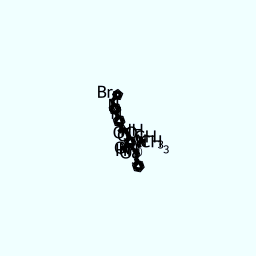 CN(C)CC[C@H](CSc1ccccc1)Nc1ccc(S(=O)(=O)NC(=O)c2ccc(N3CCN(CC4=C(Br)CCC4)CC3)cc2)cc1[N+](=O)[O-]